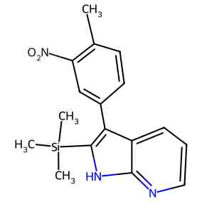 Cc1ccc(-c2c([Si](C)(C)C)[nH]c3ncccc23)cc1[N+](=O)[O-]